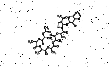 CC(=O)O[C@H](C)C(=O)O[C@H](C)C(=O)O[C@H](C)C(=O)O[C@H](C)C(=O)O[C@H](C)C(=O)O[C@H](C)C(=O)N1CCN(C(C)=O)/C1=N\c1ccc2nccnc2c1Br